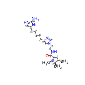 Bc1cc(C(=O)NCCn2cc(CCCCCc3c[nH]c(N)n3)nn2)n(C)c1B